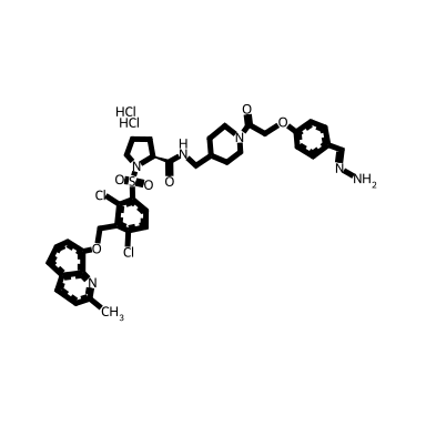 Cc1ccc2cccc(OCc3c(Cl)ccc(S(=O)(=O)N4CCC[C@H]4C(=O)NCC4CCN(C(=O)COc5ccc(C=NN)cc5)CC4)c3Cl)c2n1.Cl.Cl